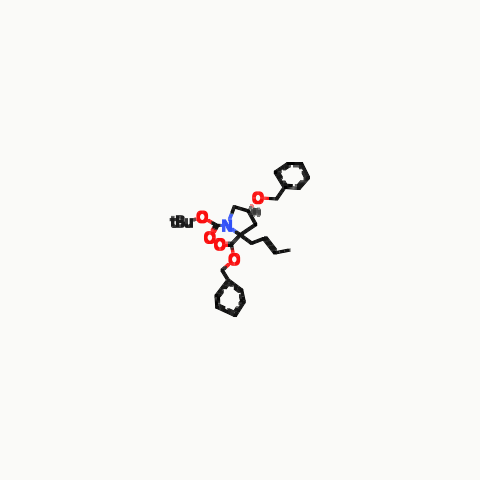 CC=CCC1(C(=O)OCc2ccccc2)C[C@@H](OCc2ccccc2)CN1C(=O)OC(C)(C)C